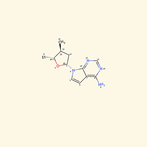 CC[C@H]1O[C@@H](n2ccc3c(N)ncnc32)C[C@@H]1C